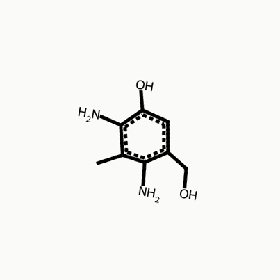 Cc1c(N)c(O)cc(CO)c1N